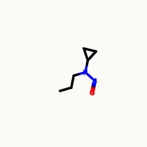 CCCN(N=O)C1CC1